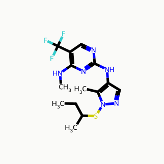 CCC(C)Sn1ncc(Nc2ncc(C(F)(F)F)c(NC)n2)c1C